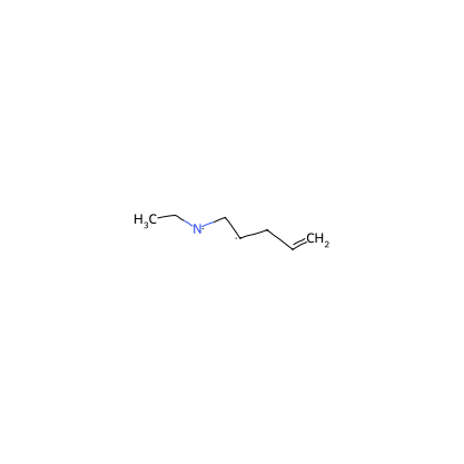 C=CC[CH]C[N]CC